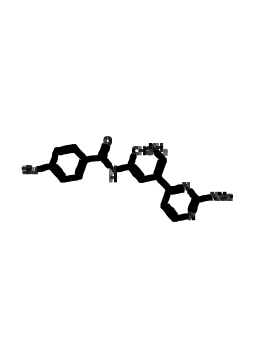 CNc1nccc(C(/C=C(\C=O)NC(=O)c2ccc(C(C)(C)C)cc2)=C/N)n1